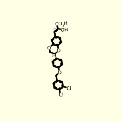 O=C(O)/C(O)=C/c1ccc2c(c1)OC[C@H](c1ccc(OCc3ccc(Cl)c(Cl)c3)cc1)O2